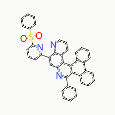 O=S(=O)(c1ccccc1)c1cccc(-c2cc3nc(-c4ccccc4)c4c5ccccc5c5ccccc5c4c3c3cccnc23)n1